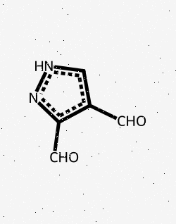 O=Cc1c[nH]nc1C=O